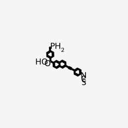 OOC(c1ccc(CP)cc1)c1ccc2cc(C#Cc3ccc(N=C=S)cc3)ccc2c1